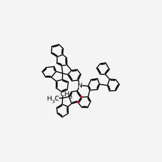 CC1(C)c2ccccc2-c2ccc(N(c3ccc4c(c3)C3(c5ccccc5-c5ccccc53)c3cc5ccccc5cc3-4)c3ccc(-c4ccccc4-c4ccccc4)cc3-c3ccccc3)cc21